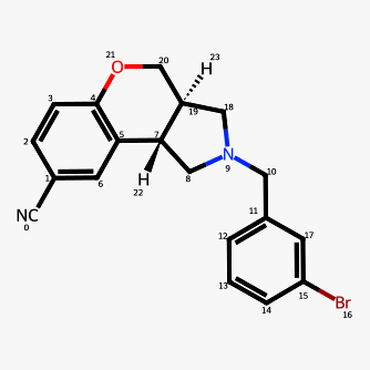 N#Cc1ccc2c(c1)[C@H]1CN(Cc3cccc(Br)c3)C[C@@H]1CO2